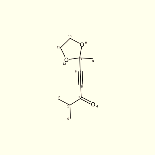 CC(C)C(=O)C#CC1(C)OCCO1